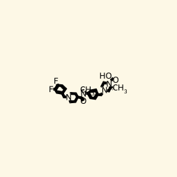 C[C@H]1CN(Cc2ccc(N(C)C(=O)C3CCN(Cc4ccc(F)c(F)c4)CC3)cc2)CCN1C(=O)O